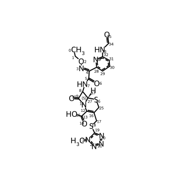 CCON=C(C(=O)NC1C(=O)N2C(C(=O)O)=C(CSc3nnnn3C)CS[C@@H]12)c1cccc(NC=O)n1